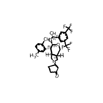 Cc1ccc(C)c([C@@H]2[C@@H](O[C@H](C)c3cc(C(F)(F)F)cc(C(F)(F)F)c3)OC[C@@H]3CN(C4=CC(=O)CC4)C[C@H]32)c1